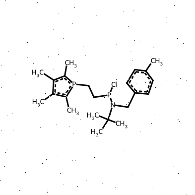 Cc1ccc(CN(P(Cl)CCp2c(C)c(C)c(C)c2C)C(C)(C)C)cc1